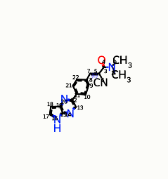 CN(C)C(=O)/C(C#N)=C/c1ccc(-c2cnc3[nH]ccc3n2)cc1